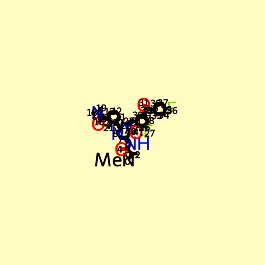 CNC(C)C(=O)Nc1cnc(-c2cccc(C(=O)N(C)C)c2C)n(Cc2cc(F)cc(C(=O)c3ccc(F)cc3)c2)c1=O